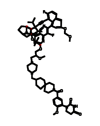 COCOc1cc(-c2ncc3c(N4CC5CCC(C4)N5C(=O)OC(C)(C)C)nc(OCC(CN4CCN(CC5CCC6(CC5)CCN(C(=O)c5ccc(OC)c(N7CCC(=O)NC7=O)c5)CC6)CC4)OC)nc3c2F)c2c(C#C[Si](C(C)C)(C(C)C)C(C)C)c(F)ccc2c1